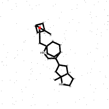 CC12CC(C3CNC4(CN5CC6CC5(C)C6)CCC3CC4)CC1CCN2